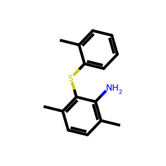 Cc1ccccc1Sc1c(C)ccc(C)c1N